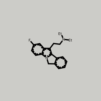 CCN(CC)CCc1c2n(c3ccc(F)cc13)Cc1ccccc1-2